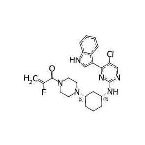 C=C(F)C(=O)N1CCN([C@H]2CCC[C@@H](Nc3ncc(Cl)c(-c4c[nH]c5ccccc45)n3)C2)CC1